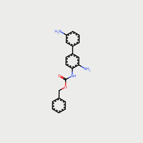 Nc1cccc(-c2ccc(NC(=O)OCc3ccccc3)c(N)c2)c1